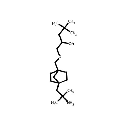 CC(C)(C)CC(O)COCC12CCC(CC(C)(C)N)(CC1)C2